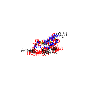 CC(=O)N[C@@H]1[C@H](OCCNC(=O)CCN2C(=O)CC(SC[C@H](NC(C)=O)C(=O)NCC(=O)N[C@@H](CSC3CC(=O)N(CCC(=O)NCCO[C@@H]4O[C@H](CO)[C@@H](O)[C@H](O)[C@@H]4NC(C)=O)C3=O)C(=O)NCC(=O)N[C@@H](CSC3CC(=O)N(CCC(=O)NCCO[C@@H]4O[C@H](CO)[C@@H](O)[C@H](O)[C@@H]4NC(C)=O)C3=O)C(=O)NCC(=O)O)C2=O)O[C@H](CO)[C@@H](O)[C@@H]1O